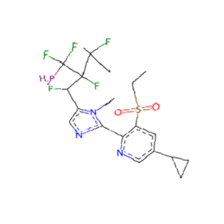 CCS(=O)(=O)c1cc(C2CC2)cnc1-c1ncc(C(F)C(F)(C(C)(C)F)C(F)(F)P)n1C